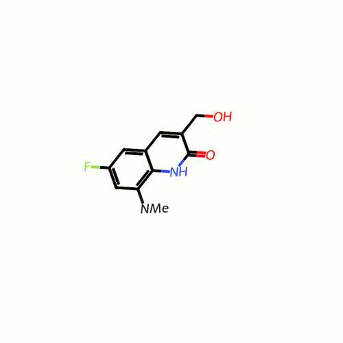 CNc1cc(F)cc2cc(CO)c(=O)[nH]c12